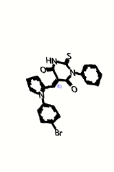 O=C1NC(=S)N(c2ccccc2)C(=O)/C1=C/c1cccn1-c1ccc(Br)cc1